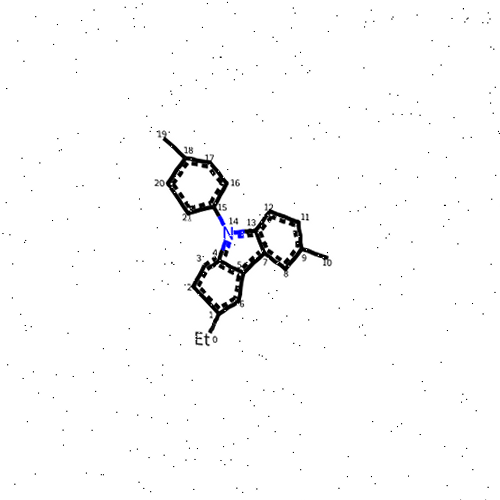 CCc1ccc2c(c1)c1cc(C)ccc1n2-c1ccc(C)cc1